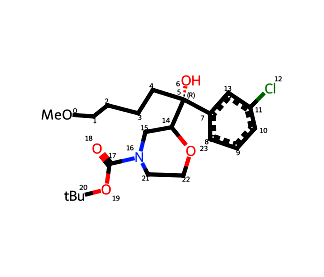 COCCCC[C@@](O)(c1cccc(Cl)c1)C1CN(C(=O)OC(C)(C)C)CCO1